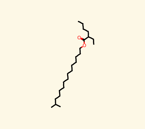 CCCCC(CC)C(=O)OCCCCCCCCCCCCCC(C)C